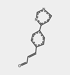 O=C/C=C/c1ccc(-c2ccncn2)cc1